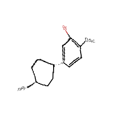 CCC[C@H]1CC[C@H](c2ccc(OC(C)=O)c(Br)c2)CC1